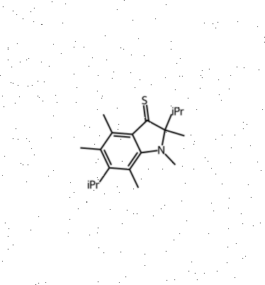 Cc1c(C)c(C(C)C)c(C)c2c1C(=S)C(C)(C(C)C)N2C